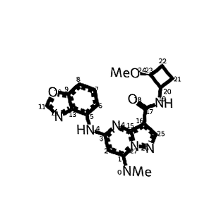 CNc1cc(Nc2cccc3ocnc23)nc2c(C(=O)NC3CC[C@@H]3OC)cnn12